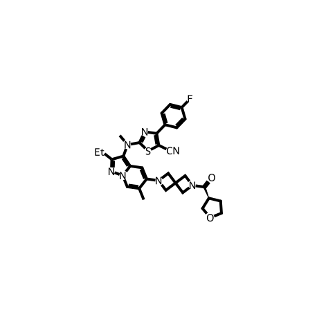 CCc1nn2cc(C)c(N3CC4(CN(C(=O)[C@H]5CCOC5)C4)C3)cc2c1N(C)c1nc(-c2ccc(F)cc2)c(C#N)s1